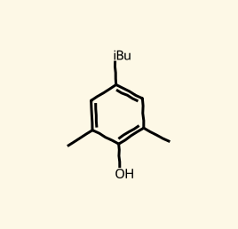 CCC(C)c1cc(C)c(O)c(C)c1